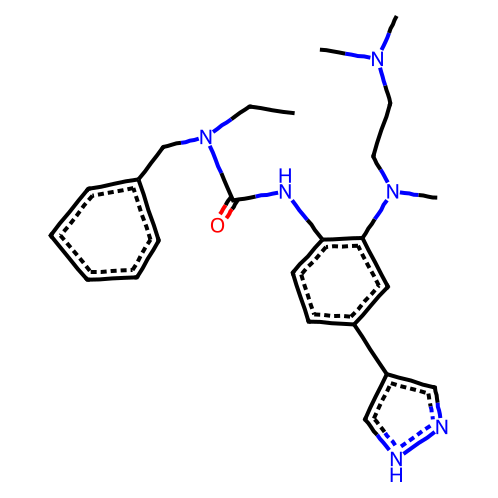 CCN(Cc1ccccc1)C(=O)Nc1ccc(-c2cn[nH]c2)cc1N(C)CCN(C)C